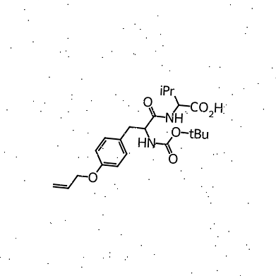 C=CCOc1ccc(CC(NC(=O)OC(C)(C)C)C(=O)NC(C(=O)O)C(C)C)cc1